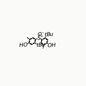 Cc1cc([S+]([O-])c2cc(C)c(O)cc2C(C)(C)C)c(C(C)(C)C)cc1O